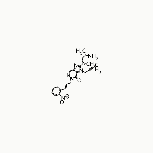 CC#CCn1c(N(C)CC(C)N)nc2cnn(CC=Cc3ccccc3[N+](=O)[O-])c(=O)c21